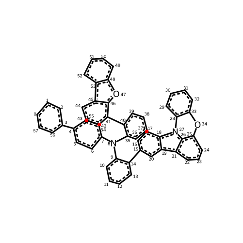 c1ccc(-c2ccc(N(c3ccccc3-c3ccc4c(c3)c3cccc5c3n4-c3ccccc3O5)c3ccccc3-c3cccc4c3oc3ccccc34)cc2)cc1